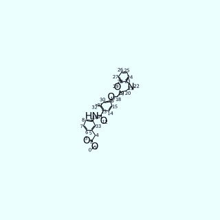 COC(=O)Cc1cccc(NC(=O)c2ccc(OC[C@@H]3CN(C)c4ccccc4O3)cc2C)c1